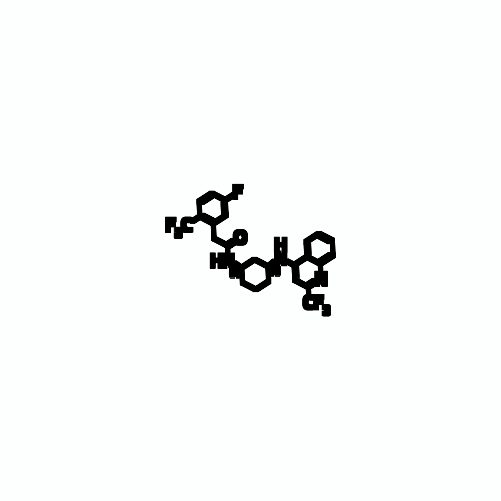 O=C(Cc1cc(F)ccc1C(F)(F)F)N[C@@H]1CCC[C@H](Nc2cc(C(F)(F)F)nc3ccccc23)C1